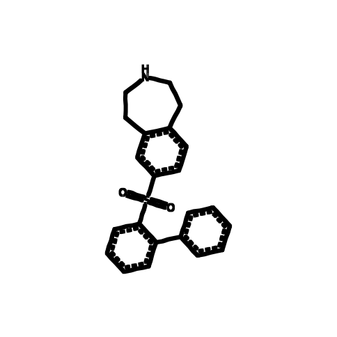 O=S(=O)(c1ccc2c(c1)CCNCC2)c1ccccc1-c1ccccc1